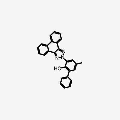 Cc1cc(-c2ccccc2)c(O)c(-n2nc3c4ccccc4c4ccccc4c3n2)c1